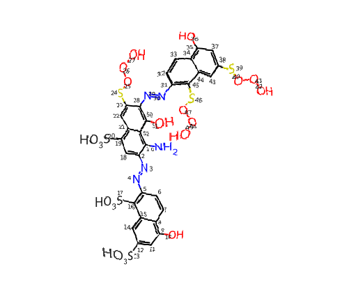 Nc1c(N=Nc2ccc3c(O)cc(S(=O)(=O)O)cc3c2S(=O)(=O)O)cc(S(=O)(=O)O)c2cc(SOOO)c(N=Nc3ccc4c(O)cc(SOOO)cc4c3SOOO)c(O)c12